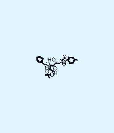 Cc1ccc(S(=O)(=O)OC[C@@H](O)[C@H]2O[C@@H]3OC(C)(C)O[C@@H]3[C@@H]2OCc2ccccc2)cc1